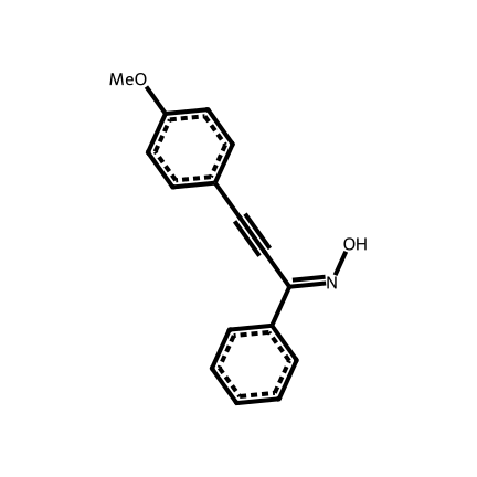 COc1ccc(C#CC(=NO)c2ccccc2)cc1